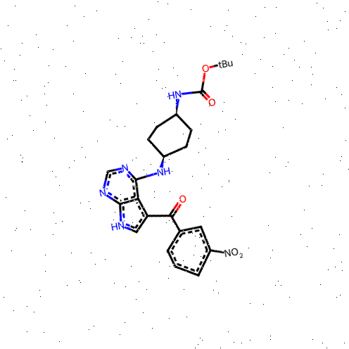 CC(C)(C)OC(=O)N[C@H]1CC[C@@H](Nc2ncnc3[nH]cc(C(=O)c4cccc([N+](=O)[O-])c4)c23)CC1